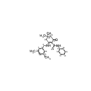 Cc1cc(CNC2=C(C(=S)Nc3ccccc3)C(=O)CC(C)(C)C2)cc(C)n1